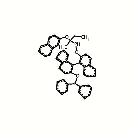 CCC(C)(Oc1ccc2ccccc2c1)POc1ccc2ccccc2c1-c1c(OP(c2ccccc2)c2ccccc2)ccc2ccccc12